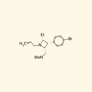 C=CCN1[C@H](CC)[C@H](c2ccc(Br)cc2)[C@@H]1CNC